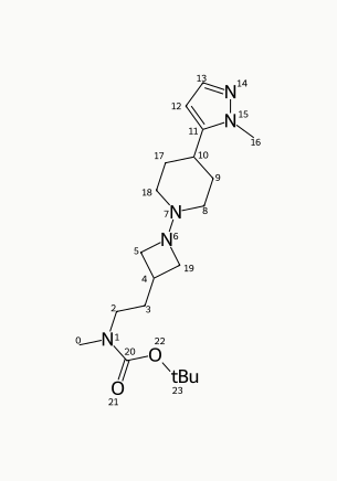 CN(CCC1CN(N2CCC(c3ccnn3C)CC2)C1)C(=O)OC(C)(C)C